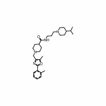 Cc1ccccc1-c1nc(CN2CCC(C(=O)NCCCN3CCC(C(C)C)CC3)CC2)c(C)o1